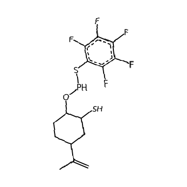 C=C(C)C1CCC(OPSc2c(F)c(F)c(F)c(F)c2F)C(S)C1